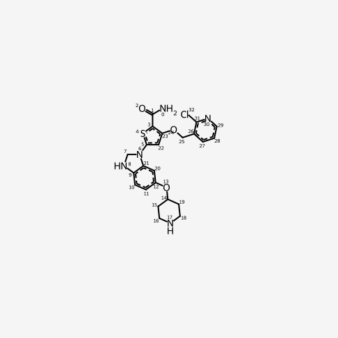 NC(=O)c1sc(N2CNc3ccc(OC4CCNCC4)cc32)cc1OCc1cccnc1Cl